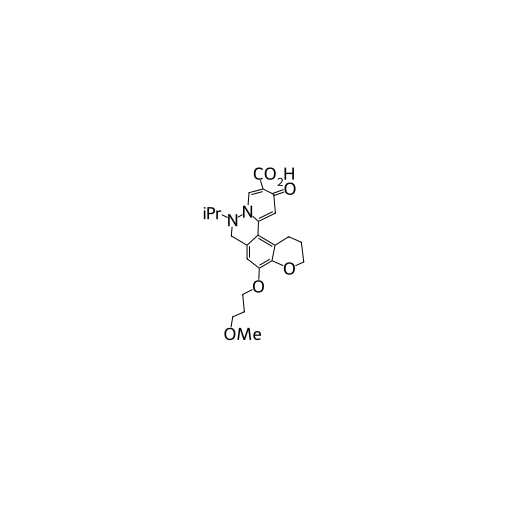 COCCCOc1cc2c(c3c1OCCC3)-c1cc(=O)c(C(=O)O)cn1N(C(C)C)C2